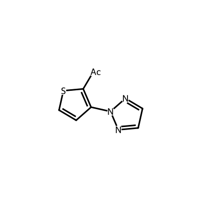 CC(=O)c1sccc1-n1nccn1